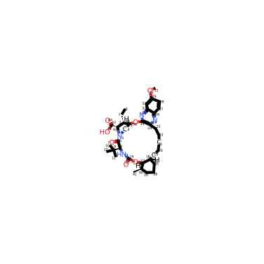 CC[C@@H]1[C@@H]2CN(C(=O)[C@H](C(C)(C)C)NC(=O)O[C@H]3[C@H](CCCCCc4nc5ccc(OC)cc5nc4O2)CCC[C@H]3C)[C@@H]1C(=O)O